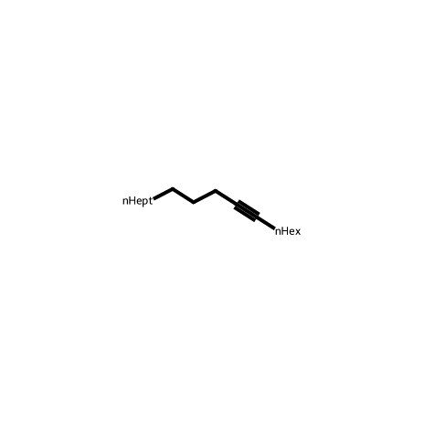 C[CH]CCCCCCCCC#CCCCCCC